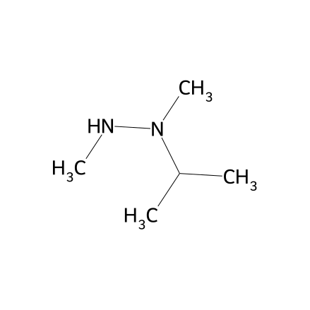 CNN(C)C(C)C